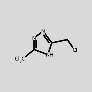 ClCc1nnc(C(Cl)(Cl)Cl)[nH]1